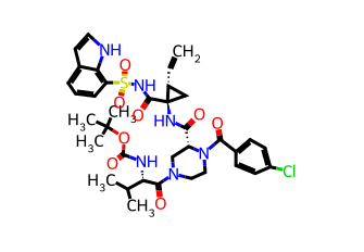 C=C[C@@H]1C[C@]1(NC(=O)[C@H]1CN(C(=O)[C@@H](NC(=O)OC(C)(C)C)C(C)C)CCN1C(=O)c1ccc(Cl)cc1)C(=O)NS(=O)(=O)c1cccc2cc[nH]c12